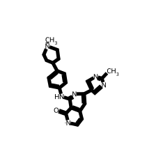 Cc1ncc(-c2cc3c(c(Nc4ccc(C5CCN(C)CC5)cc4)n2)C(=O)[N]C=C3)cn1